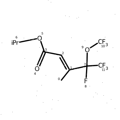 C/C(=C\C(=O)OC(C)C)C(F)(OC(F)(F)F)C(F)(F)F